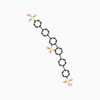 O=S(=O)(O)c1ccc(-c2ccc(-c3ccc4c(c3)S(=O)(=O)c3cc(-c5ccc(-c6ccc(S(=O)(=O)O)cc6)cc5)ccc3-4)cc2)cc1